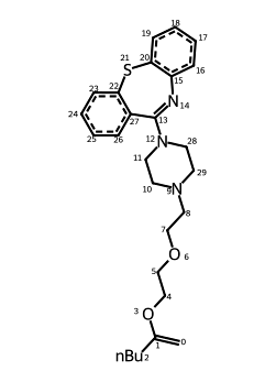 C=C(CCCC)OCCOCCN1CCN(C2=Nc3ccccc3Sc3ccccc32)CC1